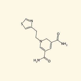 NC(=O)C1=CN(CCc2cscn2)CC(C(N)=O)=C1